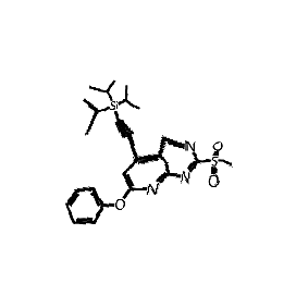 CC(C)[Si](C#Cc1cc(Oc2ccccc2)nc2nc(S(C)(=O)=O)ncc12)(C(C)C)C(C)C